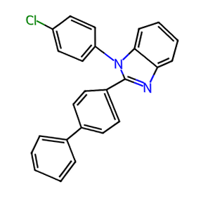 Clc1ccc(-n2c(-c3ccc(-c4ccccc4)cc3)nc3ccccc32)cc1